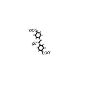 O=C([O-])c1ccc(C=Cc2ccc(C(=O)[O-])cc2)cc1.[K+].[K+]